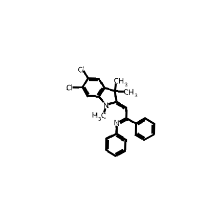 CN1C(=C/C(=N/c2ccccc2)c2ccccc2)C(C)(C)c2cc(Cl)c(Cl)cc21